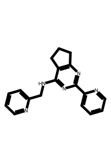 c1ccc(CNc2nc(-c3ccccn3)nc3c2CCC3)nc1